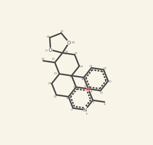 Cc1ncc2c(n1)C1(c3ccccc3)CCC3(OCCO3)C(C)C1CC2